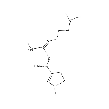 CN/C(=N/CCCN(C)C)OC(=O)C1=C[C@@H](C)CC1